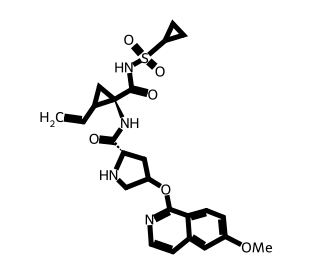 C=CC1C[C@]1(NC(=O)[C@@H]1CC(Oc2nccc3cc(OC)ccc23)CN1)C(=O)NS(=O)(=O)C1CC1